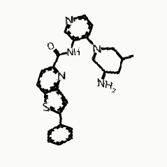 CC1CC(N)CN(c2ccncc2NC(=O)c2ccc3sc(-c4ccccc4)cc3n2)C1